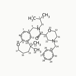 CC(C)CN(Cc1ccc2c(c1)C(C)(C)CCCO2)C(=O)C1CN(Cc2ccccc2)CCO1